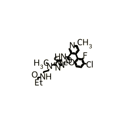 CCC(=O)NCCN(C)c1nnc(NC(=O)c2cnc(C)cc2-c2c(OC)ccc(Cl)c2F)s1